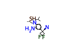 CC(C)CN(CC(C)S)c1ccc(C2(C#N)CC(F)(F)C2)cc1N